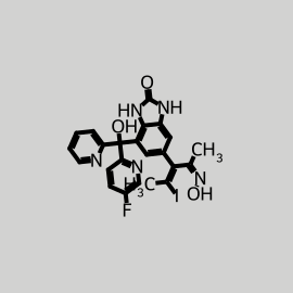 CC(=N/O)/C(=C(/C)I)c1cc(C(O)(c2ccccn2)c2ccc(F)cn2)c2[nH]c(=O)[nH]c2c1